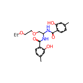 CCOCCOCC(NC(=O)c1ccc(C)cc1O)NC(=O)c1ccc(C)cc1O